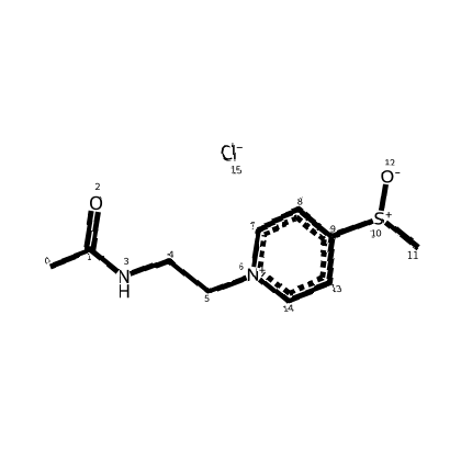 CC(=O)NCC[n+]1ccc([S+](C)[O-])cc1.[Cl-]